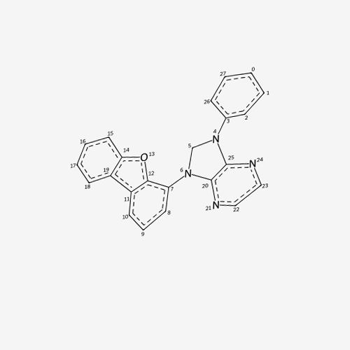 c1ccc(N2CN(c3cccc4c3oc3ccccc34)c3nccnc32)cc1